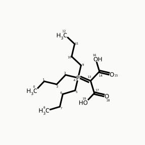 CCCCP(CCCC)(CCCC)=C(C(=O)O)C(=O)O